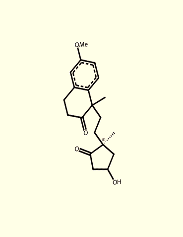 COc1ccc2c(c1)CCC(=O)C2(C)CC[C@@]1(C)CC(O)CC1=O